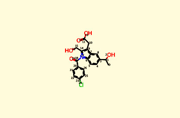 CC(O)c1ccc2c(c1)c(CC(=O)O)c(CO)n2C(=O)c1ccc(Cl)cc1